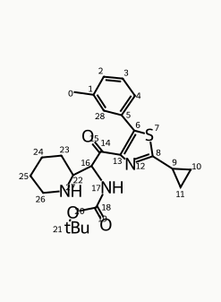 Cc1cccc(-c2sc(C3CC3)nc2C(=O)C(NC(=O)OC(C)(C)C)C2CCCCN2)c1